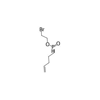 C=CCCC[PH](=O)OCCBr